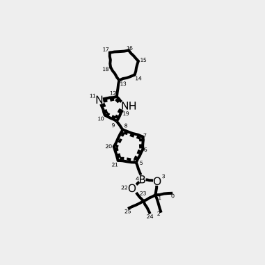 CC1(C)OB(c2ccc(-c3cnc(C4CCCCC4)[nH]3)cc2)OC1(C)C